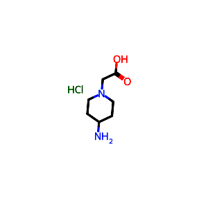 Cl.NC1CCN(CC(=O)O)CC1